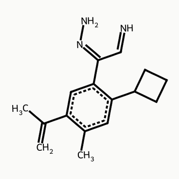 C=C(C)c1cc(/C(C=N)=N/N)c(C2CCC2)cc1C